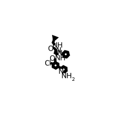 Nc1cccc(-c2ccc(Cl)c(C(=O)Nc3cc(C(=O)NCC4CC4)nn3-c3ccccc3)c2)n1